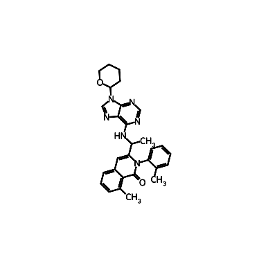 Cc1ccccc1-n1c(C(C)Nc2ncnc3c2ncn3C2CCCCO2)cc2cccc(C)c2c1=O